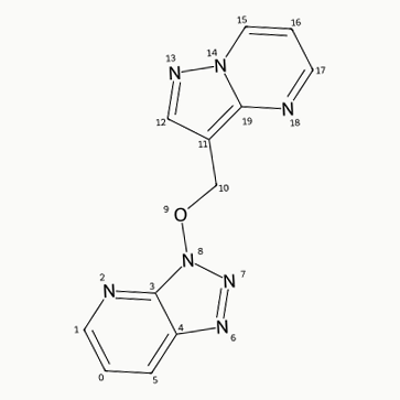 c1cnc2c(c1)nnn2OCc1cnn2cccnc12